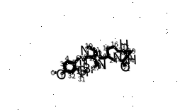 COc1ccc(CNc2nccn3c(C4CCC5[C@H]6C[C@@H]6C(=O)N5C4)nc(Br)c23)c(OC)c1